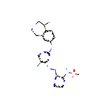 CC1CNCCc2cc(Nc3ncc(Cl)c(NCc4nccnc4N(Cl)S(C)(=O)=O)n3)ccc21